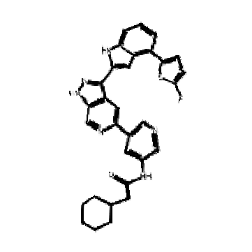 O=C(CC1CCCCC1)Nc1cncc(-c2cc3c(-c4cc5c(-c6ccc(F)s6)cccc5[nH]4)n[nH]c3cn2)c1